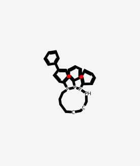 c1ccc(-c2ccc(P3CCCCCCCCPP(c4ccccc4)P3c3ccccc3)cc2)cc1